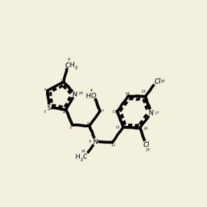 Cc1csc(CC(CO)N(C)Cc2ccc(Cl)nc2Cl)n1